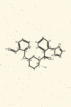 C[C@@H]1CC[C@@H](Oc2ncccc2C=O)CN1C(=O)c1ccccc1-n1nccn1